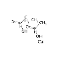 C.C[PH](=O)O.C[PH](=O)O.[Ca]